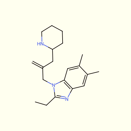 C=C(CC1CCCCN1)Cn1c(CC)nc2cc(C)c(C)cc21